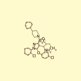 CCC(C)C(N)c1c(C(=O)N2CCC(c3ccccc3)CC2)nn(-c2ccccc2Cl)c1Oc1ccc(Cl)cc1